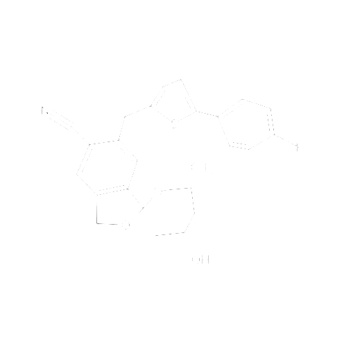 C[C@@H]1C[C@H](O)C[C@@]2(OCc3cc(C#N)c(Cc4ccc(-c5ccc(F)cc5)s4)cc32)O1